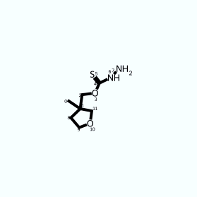 CC1(COC(=S)NN)CCOC1